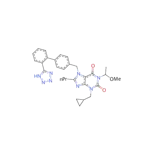 CCCc1nc2c(c(=O)n(C(C)OC)c(=O)n2CC2CC2)n1Cc1ccc(-c2ccccc2-c2nnn[nH]2)cc1